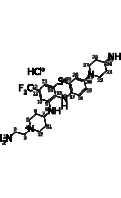 Cl.NCCN1CCC(Nc2cc(C(F)(F)F)cc3c2Nc2ccc(N4CCC(N)CC4)cc2S3)CC1